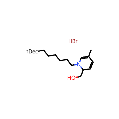 Br.CCCCCCCCCCCCCCCCN1C=C(C)C=CC1CO